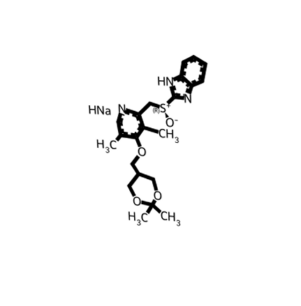 Cc1cnc(C[S@+]([O-])c2nc3ccccc3[nH]2)c(C)c1OCC1COC(C)(C)OC1.[NaH]